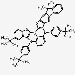 CC(C)(C)c1ccc(N2c3cccc4c3B(c3sc5ccc(C(C)(C)C)cc5c32)c2sc3cc5c(cc3c2N4c2ccc(C(C)(C)C)cc2)-c2ccccc2C5(C)C)cc1